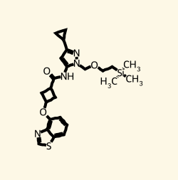 C[Si](C)(C)CCOCn1nc(C2CC2)cc1NC(=O)C1CC(Oc2cccc3scnc23)C1